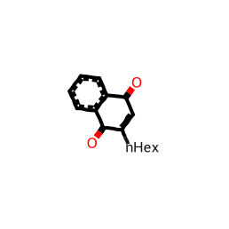 CCCCCCC1=CC(=O)c2ccccc2C1=O